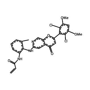 C=CC(=O)Nc1cccc(C)c1Nc1cc2c(=O)cc(-c3c(Cl)c(OC)cc(OC)c3Cl)oc2cn1